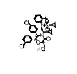 O=C1[C@H](CO)O[C@H](c2cccc(Cl)c2)[C@@H](c2ccc(Cl)cc2)N1C(CN(c1ccccc1F)S(=O)(=O)C1CC1)C1CC1